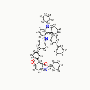 c1ccc(-c2cccc(N(c3ccc(-c4ccc5oc6ccc7nc(-c8ccccc8)oc7c6c5c4)cc3)c3cccc4c3c3ccccc3n4-c3ccccc3)c2)cc1